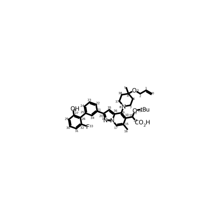 C=CCOC1(C)CCN(c2c(C(OC(C)(C)C)C(=O)O)c(C)cn3nc(-c4cccc(-c5c(O)cccc5F)c4)cc23)CC1